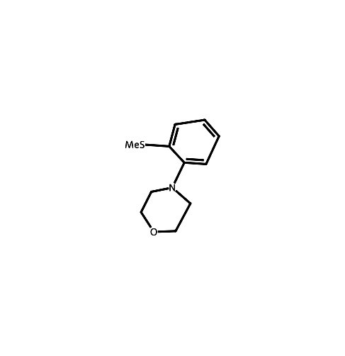 CSc1ccccc1N1CCOCC1